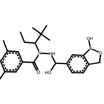 CCC(N(NC(O)c1ccc2c(c1)B(O)OC2)C(=O)c1cc(C)cc(C)c1)C(C)(C)C